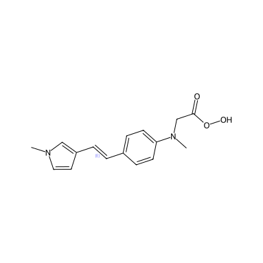 CN(CC(=O)OO)c1ccc(/C=C/c2ccn(C)c2)cc1